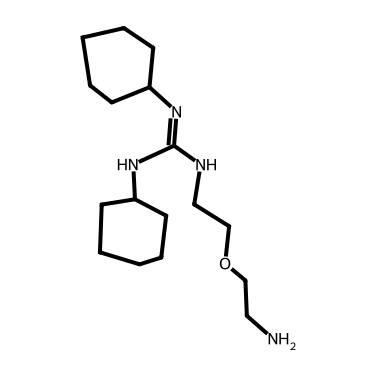 NCCOCCNC(=NC1CCCCC1)NC1CCCCC1